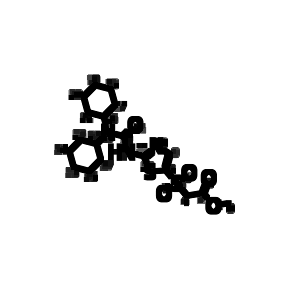 COC(=O)CS(=O)(=O)c1cnc(NC(=O)N(C2CCCCC2)C2CCCCC2)s1